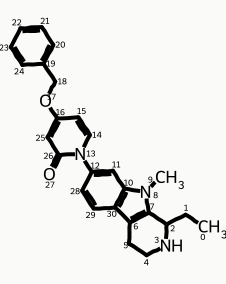 CCC1NCCc2c1n(C)c1cc(-n3ccc(OCc4ccccc4)cc3=O)ccc21